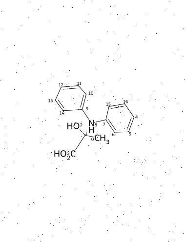 CC(O)C(=O)O.c1ccc(Nc2ccccc2)cc1